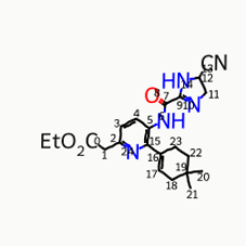 CCOC(=O)Cc1ccc(NC(=O)C2=NCC(C#N)N2)c(C2=CCC(C)(C)CC2)n1